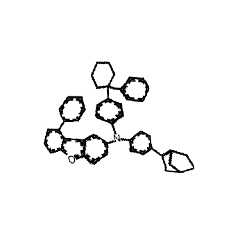 c1ccc(-c2cccc3oc4ccc(N(c5ccc(C6CC7CCC6C7)cc5)c5ccc(C6(c7ccccc7)CCCCC6)cc5)cc4c23)cc1